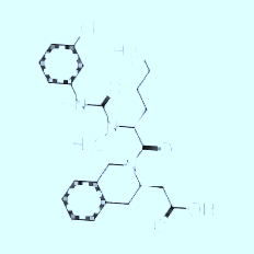 CCCC[C@@H](C(=O)N1Cc2ccccc2C[C@@H]1CC(=O)O)N(C)C(=O)Nc1cccc(Cl)c1